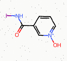 O=C(NI)c1ccc[n+](O)c1